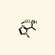 CC(O)c1nccn1C.CS(=O)(=O)O